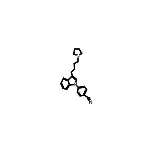 N#Cc1ccc(-n2cc(CCCCN3CCCC3)c3ccccc32)cc1